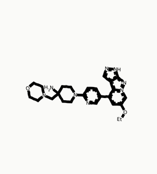 CCOc1cc(-c2ccc(N3CCC(N)(CN4CCOCC4)CC3)nc2)c2c3cn[nH]c3nn2c1